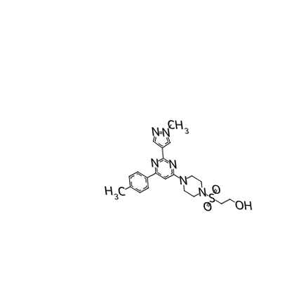 Cc1ccc(-c2cc(N3CCN(S(=O)(=O)CCO)CC3)nc(-c3cnn(C)c3)n2)cc1